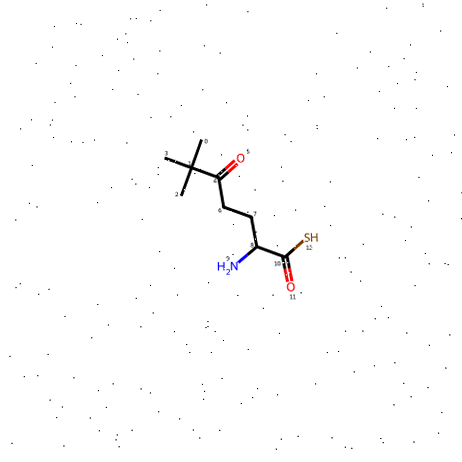 CC(C)(C)C(=O)CCC(N)C(=O)S